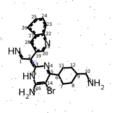 N=C/C(=C1/N=C(C2CCC(CN)CC2)C(Br)=C(N)N1)c1cnc2ccccc2c1